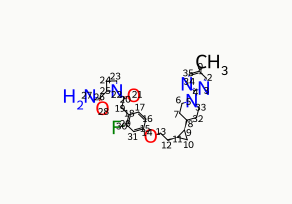 Cc1cnc(N2CCC([C@H]3C[C@H]3CCOc3ccc(CC(=O)N4CCC4C(N)=O)c(F)c3)CC2)nc1